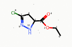 CCOC(=O)C1CC(Cl)=NN1